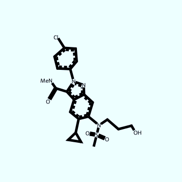 CNC(=O)c1c2cc(C3CC3)c(N(CCCO)S(C)(=O)=O)cc2nn1-c1ccc(Cl)cc1